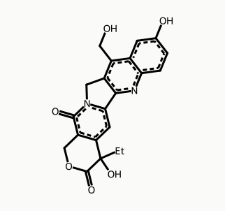 CCC1(O)C(=O)OCc2c1cc1n(c2=O)Cc2c-1nc1ccc(O)cc1c2CO